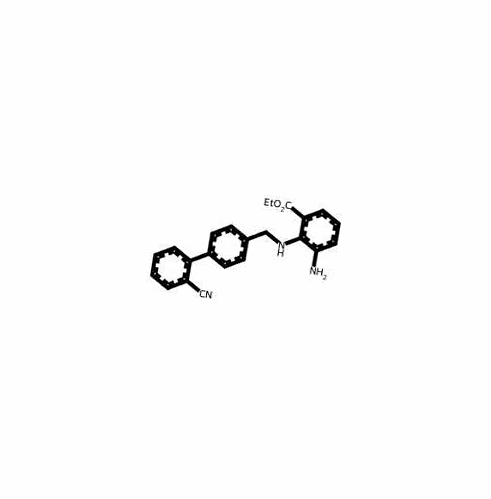 CCOC(=O)c1cccc(N)c1NCc1ccc(-c2ccccc2C#N)cc1